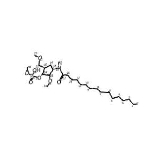 CCCCCCCCCCCCCCCC(=O)N[C@@H]1C[C@H](COC)[C@H](OP(=O)(O)OC)C1OC